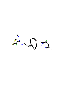 Clc1cc(Br)cnc1Oc1ccc(CCNc2ncnc3scc(Cl)c23)cc1